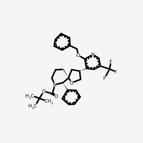 CC(C)(C)OC(=O)N1CCC[C@@]2(C[C@H](c3cc(C(F)(F)F)cnc3OCc3ccccc3)CO2)[C@@H]1c1ccccc1